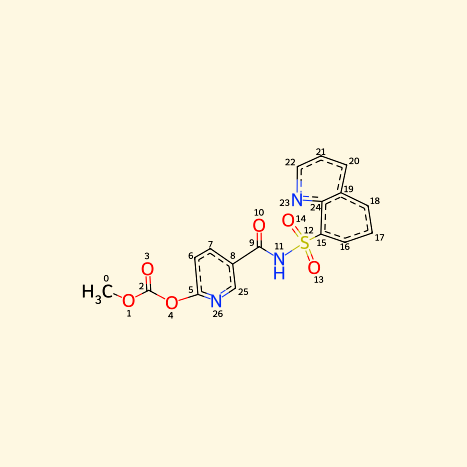 COC(=O)Oc1ccc(C(=O)NS(=O)(=O)c2cccc3cccnc23)cn1